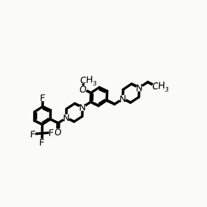 CCN1CCN(Cc2ccc(OC)c(N3CCN(C(=O)c4cc(F)ccc4C(F)(F)F)CC3)c2)CC1